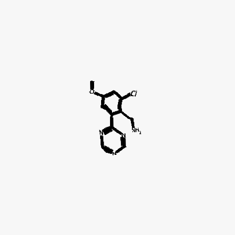 COc1cc(Cl)c(CN)c(-c2ncncn2)c1